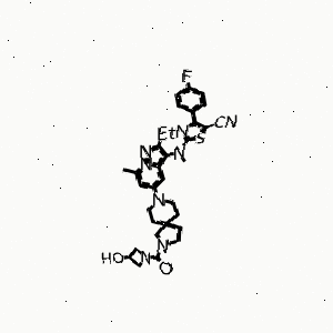 CCc1nn2c(C)cc(N3CCC4(CCN(C(=O)N5CC(O)C5)C4)CC3)cc2c1N(C)c1nc(-c2ccc(F)cc2)c(C#N)s1